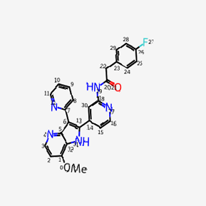 COc1ccnc2c(-c3ccccn3)c(-c3ccnc(NC(=O)Cc4ccc(F)cc4)c3)[nH]c12